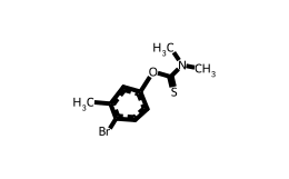 Cc1cc(OC(=S)N(C)C)ccc1Br